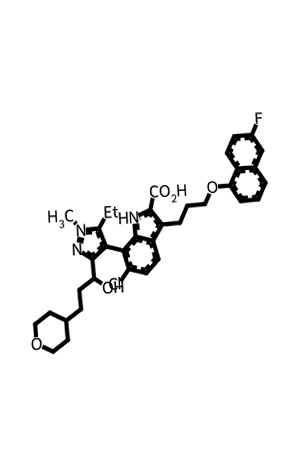 CCc1c(-c2c(Cl)ccc3c(CCCOc4cccc5cc(F)ccc45)c(C(=O)O)[nH]c23)c(C(O)CCC2CCOCC2)nn1C